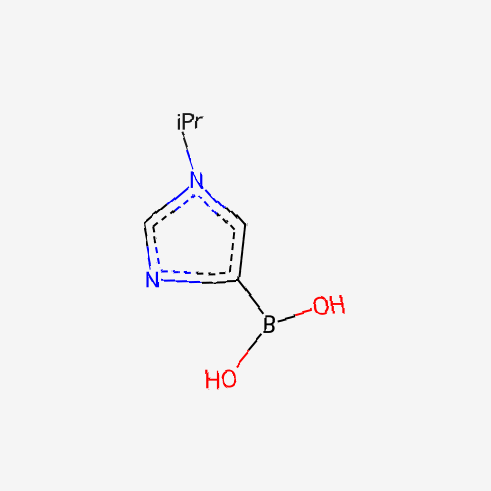 CC(C)n1cnc(B(O)O)c1